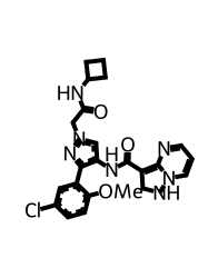 COc1ccc(Cl)cc1-c1nn(CC(=O)NC2CCC2)cc1NC(=O)C1=C2N=CC=CN2NC1